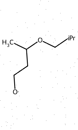 CC(C)COC(C)CC[O]